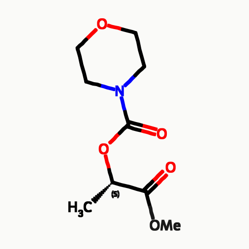 COC(=O)[C@H](C)OC(=O)N1CCOCC1